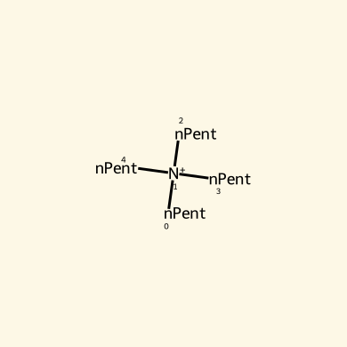 CCCCC[N+](CCCCC)(CCCCC)CCCCC